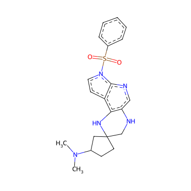 CN(C)C1CCC2(CNc3cnc4c(ccn4S(=O)(=O)c4ccccc4)c3N2)C1